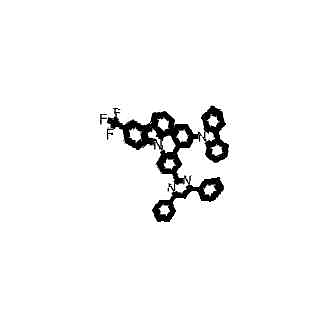 FC(F)(F)c1ccc2c(c1)c1ccccc1n2-c1ccc(-c2nc(-c3ccccc3)cc(-c3ccccc3)n2)cc1-c1cccc(-n2c3ccccc3c3ccccc32)c1